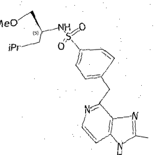 COC[C@H](CC(C)C)NS(=O)(=O)c1ccc(Cc2nccc3[nH]c(C)nc23)cc1